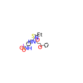 CCc1csc([C@H](Cc2ccc(NS(=O)(=O)I)cc2)NC(=O)CCC(=O)c2ccccc2)n1